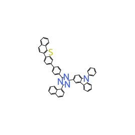 c1ccc(-n2c3ccccc3c3cc(-c4nc(-c5ccc(-c6ccc7c(c6)sc6c8ccccc8ccc76)cc5)nc(-c5cccc6ccccc56)n4)ccc32)cc1